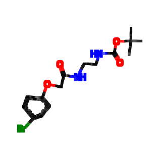 CC(C)(C)OC(=O)NCCNC(=O)COc1ccc(Br)cc1